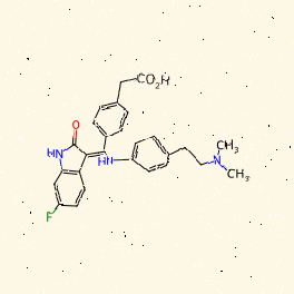 CN(C)CCc1ccc(NC(=C2C(=O)Nc3cc(F)ccc32)c2ccc(CC(=O)O)cc2)cc1